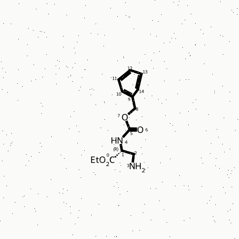 CCOC(=O)[C@@H](CN)NC(=O)OCc1ccccc1